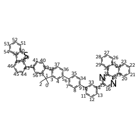 CC1(C)c2cc(-c3ccc(-c4cccc(-c5cnc6c7ccccc7c7ccccc7c6n5)c4)cc3)ccc2-c2ccc(-c3cccc4c3sc3ccccc34)cc21